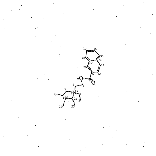 CCC[N+](CC)(CCOC(=O)c1ccc2ccccc2c1)C(C)CC